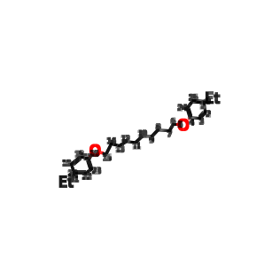 CCc1ccc(OCCCCCCCCCCOc2ccc(CC)cc2)cc1